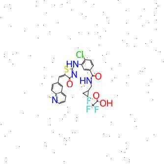 O=C(O)C(F)(F)F.O=C1N=C(Nc2cc(C(=O)NCC3CC3)ccc2Cl)SC1=Cc1ccc2ncccc2c1